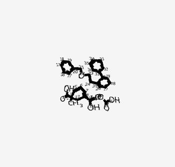 CC1(C(=O)O)C=CC=C(C(=O)O)C1.O=C(O)O.c1ccc(COCCc2ccccc2-c2ccccc2)cc1